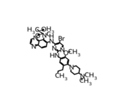 CCCc1cc(Nc2ncc(Br)c(Nc3ccc4nccnc4c3N(C)S(C)(=O)=O)n2)c(OC)cc1N1CCC(N(C)C)CC1